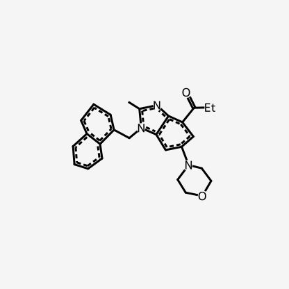 CCC(=O)c1cc(N2CCOCC2)cc2c1nc(C)n2Cc1cccc2ccccc12